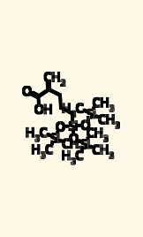 C=C(CCC[Si](O[Si](C)(C)C)(O[Si](C)(C)C)O[Si](C)(C)C)C(=O)O